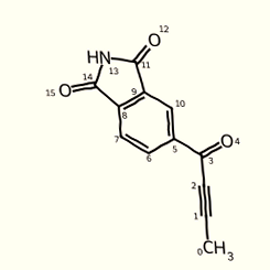 CC#CC(=O)c1ccc2c(c1)C(=O)NC2=O